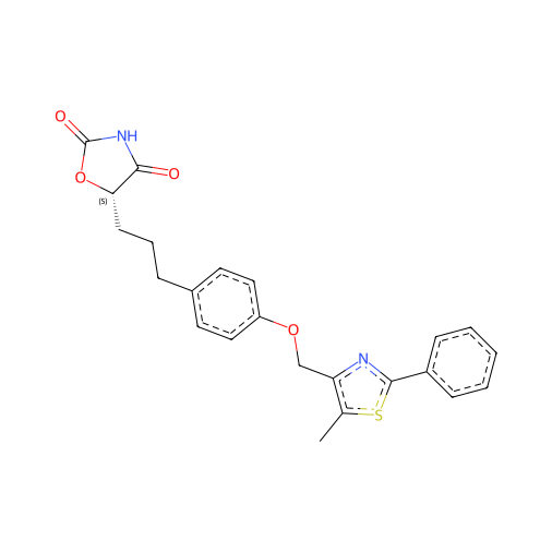 Cc1sc(-c2ccccc2)nc1COc1ccc(CCC[C@@H]2OC(=O)NC2=O)cc1